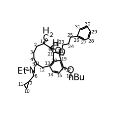 C=C1CCC[C@H](N(CC)CC2CC2)Cc2ccc(OCCCC)c3c2C(OCCCc2ccccc2)[C@H]1O3